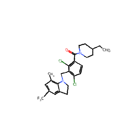 Cc1cc(C(F)(F)F)cc2c1N(Cc1c(Cl)ccc(C(=O)N3CCC(CC=O)CC3)c1Cl)CC2